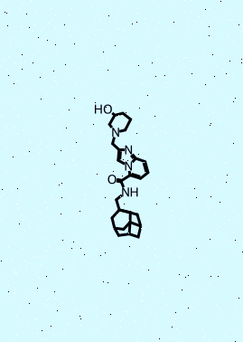 O=C(NCC12CC3CC4CC(C1)C4(C3)C2)c1cccc2nc(CN3CCCC(O)C3)cn12